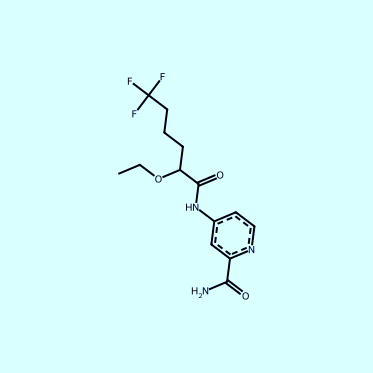 CCOC(CCCC(F)(F)F)C(=O)Nc1ccnc(C(N)=O)c1